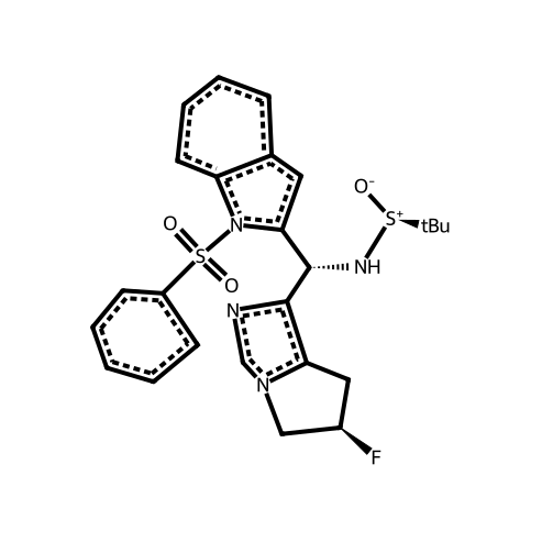 CC(C)(C)[S@+]([O-])N[C@H](c1ncn2c1C[C@@H](F)C2)c1cc2ccccc2n1S(=O)(=O)c1ccccc1